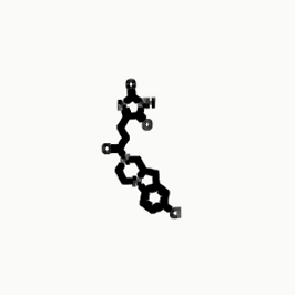 O=C1N=C(CCC(=O)N2CCN3c4ccc(Cl)cc4CC3C2)C(=O)N1